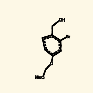 COCOc1ccc(CO)c(Br)c1